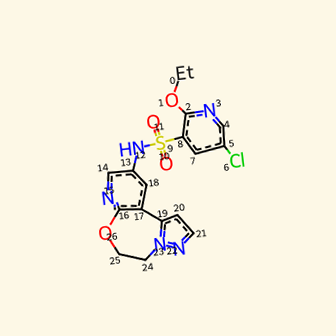 CCOc1ncc(Cl)cc1S(=O)(=O)Nc1cnc2c(c1)-c1ccnn1CCO2